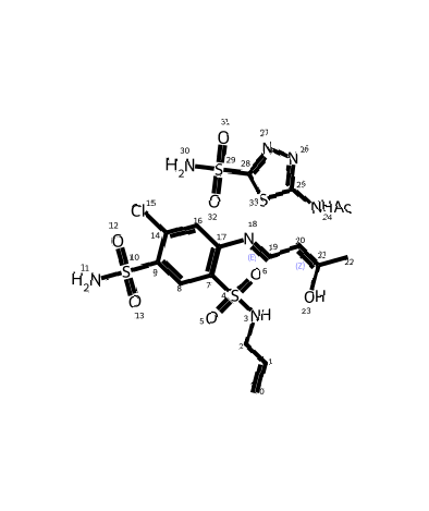 C=CCNS(=O)(=O)c1cc(S(N)(=O)=O)c(Cl)cc1/N=C/C=C(/C)O.CC(=O)Nc1nnc(S(N)(=O)=O)s1